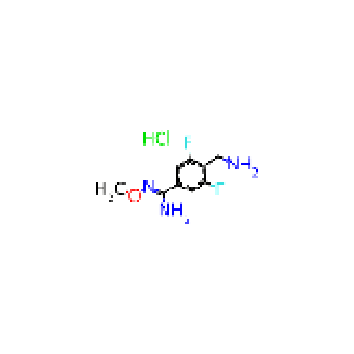 CO/N=C(\N)c1cc(F)c(CN)c(F)c1.Cl